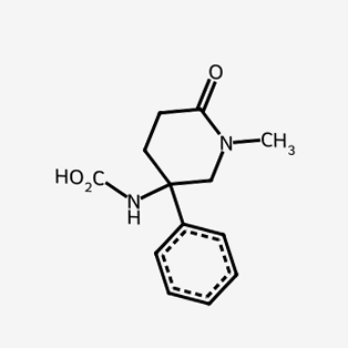 CN1CC(NC(=O)O)(c2ccccc2)CCC1=O